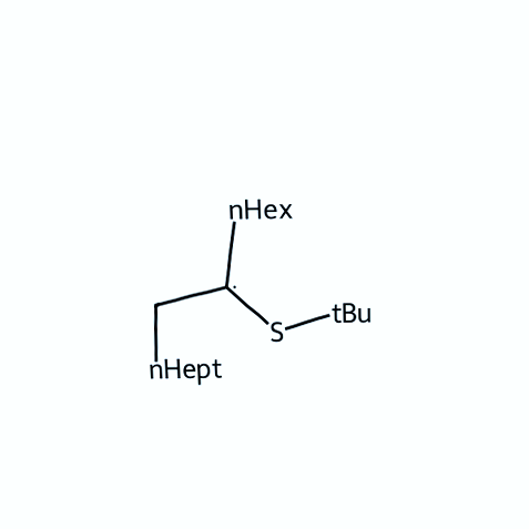 CCCCCCCC[C](CCCCCC)SC(C)(C)C